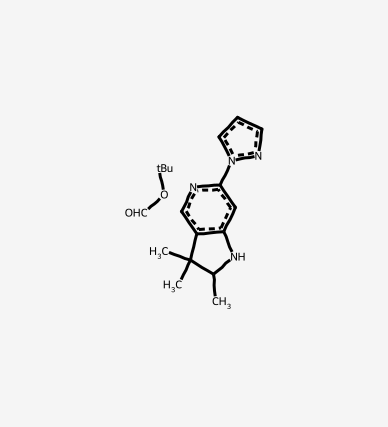 CC(C)(C)OC=O.CC1Nc2cc(-n3cccn3)ncc2C1(C)C